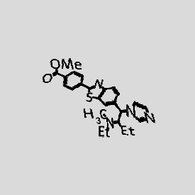 CCC(C(c1ccc2nc(-c3ccc(C(=O)OC)cc3)sc2c1)n1ccnc1)N(C)CC